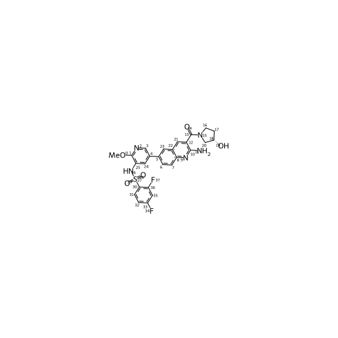 COc1ncc(-c2ccc3nc(N)c(C(=O)N4CC[C@H](O)C4)cc3c2)cc1NS(=O)(=O)c1ccc(F)cc1F